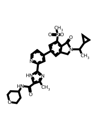 Cc1nc(-c2cc(-c3cc4c(c(S(C)(=O)=O)c3)C(=O)N(C(C)C3CC3)C4)ccn2)[nH]c1C(=O)NC1CCOCC1